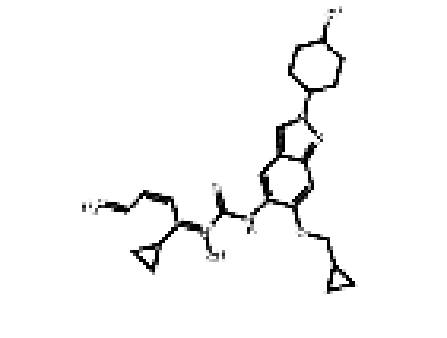 C=C/C=C\C(C1CC1)=[N+](\O)C(=O)Nc1cc2cn(C3CCC(O)CC3)nc2cc1OCC1CC1